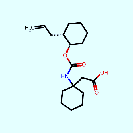 C=CC[C@@H]1CCCC[C@H]1OC(=O)NC1(CC(=O)O)CCCCC1